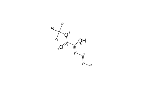 CC=CC=C(O)C(=O)OC(C)(C)C